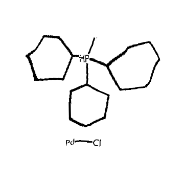 [CH2][PH](C1CCCCC1)(C1CCCCC1)C1CCCCC1.[Cl][Pd]